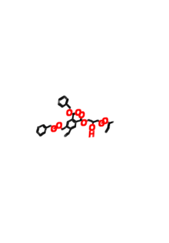 C=C=C(C)OOCC(O)COC(=O)c1cc(C=C)c(COOCc2ccccc2)cc1C(=O)OCc1ccccc1